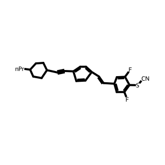 CCCC1CCC(C#Cc2ccc(/C=C/c3cc(F)c(SC#N)c(F)c3)cc2)CC1